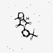 CC12CCC(O1)[C@H]1C(=O)N(c3cccc(C(F)(F)F)c3)C(=O)C12